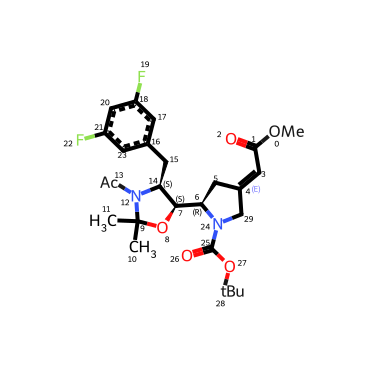 COC(=O)/C=C1\C[C@H]([C@H]2OC(C)(C)N(C(C)=O)[C@H]2Cc2cc(F)cc(F)c2)N(C(=O)OC(C)(C)C)C1